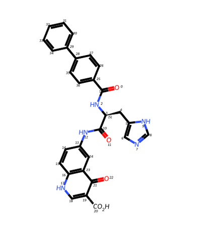 O=C(N[C@@H](Cc1cnc[nH]1)C(=O)Nc1ccc2[nH]cc(C(=O)O)c(=O)c2c1)c1ccc(-c2ccccc2)cc1